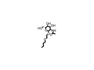 CCCCOCCO[C@H]1O[C@H](CO)[C@@H](O)[C@H](O)[C@H]1NC(C)=O